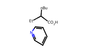 CCCCC(CC)C(=O)O.c1ccncc1